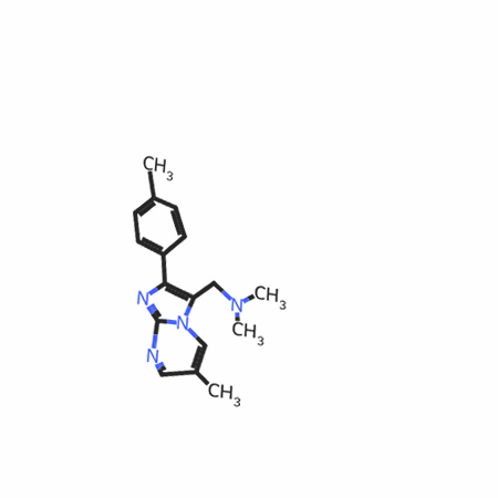 Cc1ccc(-c2nc3ncc(C)cn3c2CN(C)C)cc1